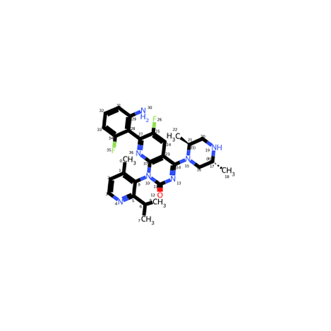 Cc1ccnc(C(C)C)c1-n1c(=O)nc(N2C[C@@H](C)NC[C@@H]2C)c2cc(F)c(-c3c(N)cccc3F)nc21